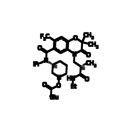 CCNC(=O)[C@@H](C)CN1C(=O)C(C)(C)Oc2cc(C(F)(F)F)c(C(=O)N(C(C)C)[C@@H]3CCCN(OC(=O)C(C)(C)C)C3)cc21